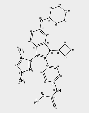 Cc1cn(C)nc1-c1c(-c2ccc(NC(=O)OC(C)C)cc2)n(C2CCC2)c2cc(OC3CCOCC3)ccc12